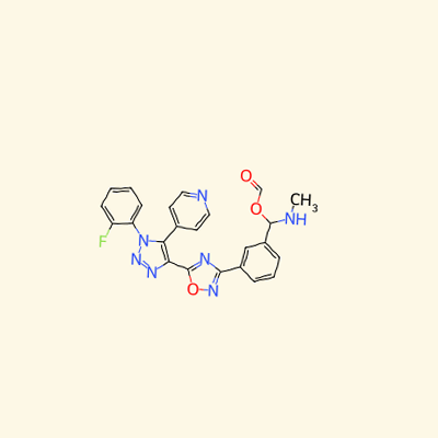 CNC(OC=O)c1cccc(-c2noc(-c3nnn(-c4ccccc4F)c3-c3ccncc3)n2)c1